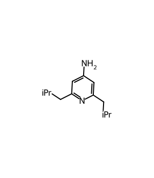 CC(C)Cc1cc(N)cc(CC(C)C)n1